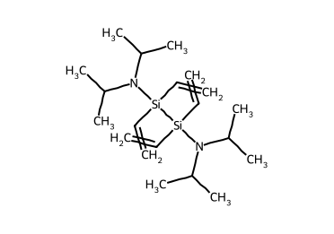 C=C[Si](C=C)(N(C(C)C)C(C)C)[Si](C=C)(C=C)N(C(C)C)C(C)C